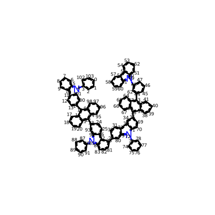 c1ccc(-n2c3ccccc3c3ccc(-c4c5ccccc5c(-c5ccc6c7c(-c8ccc9c%10cc(-c%11c%12ccccc%12c(-c%12cccc(-n%13c%14ccccc%14c%14ccccc%14%13)c%12)c%12ccccc%11%12)ccc%10n(-c%10ccccc%10)c9c8)cccc7n(-c7ccccc7)c6c5)c5ccccc45)cc32)cc1